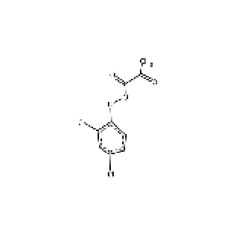 CC(=O)C(=O)OOc1ccc(Cl)cc1Cl